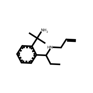 C=CCNC(CC)c1ccccc1C(C)(C)N